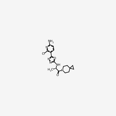 C[C@@H](Nc1nnc(-c2ccc(N)nc2Cl)o1)C(=O)N1CCC2(CC1)CC2